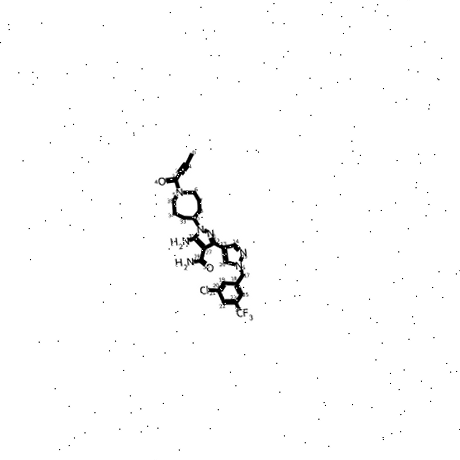 CC#CC(=O)N1CCCC(n2nc(-c3cnn(Cc4cc(Cl)cc(C(F)(F)F)c4)c3)c(C(N)=O)c2N)CCC1